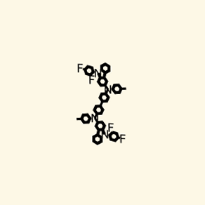 Cc1ccc(N(c2ccc(-c3ccc(N(c4ccc(C)cc4)c4ccc5c(c4)c4ccccc4n5-c4ccc(F)cc4F)cc3)cc2)c2ccc3c(c2)c2ccccc2n3-c2ccc(F)cc2F)cc1